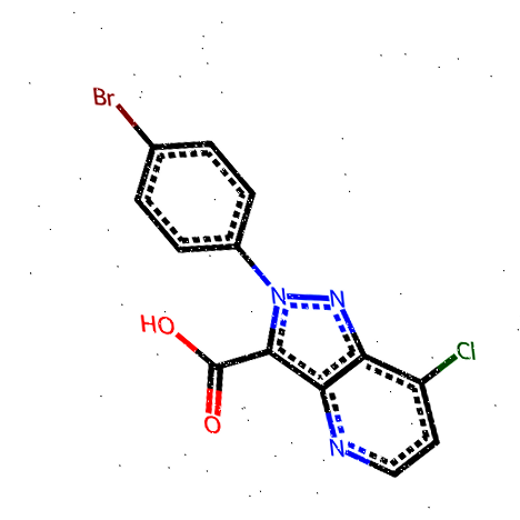 O=C(O)c1c2nccc(Cl)c2nn1-c1ccc(Br)cc1